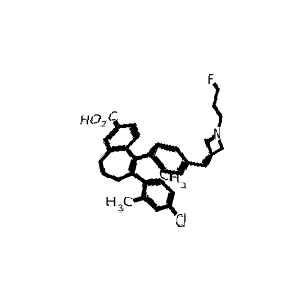 Cc1cc(Cl)cc(C)c1C1=C(c2ccc(C=C3CN(CCCF)C3)cc2)c2ccc(C(=O)O)cc2CCC1